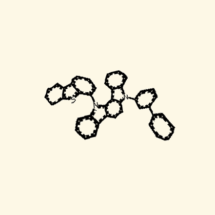 c1ccc(-c2cccc(-n3c4ccccc4c4c3ccc3c5ccccc5n(-c5cccc6c5sc5ccccc56)c34)c2)cc1